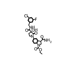 CCOC(=O)N1CC(C(N)=O)c2cc(N3CC[C@](O)(C(=O)NCc4cc(F)cc(Cl)c4)C3=O)ccc21